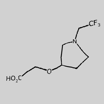 O=C(O)COC1CCN(CC(F)(F)F)C1